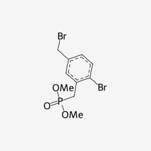 COP(=O)(Cc1cc(CBr)ccc1Br)OC